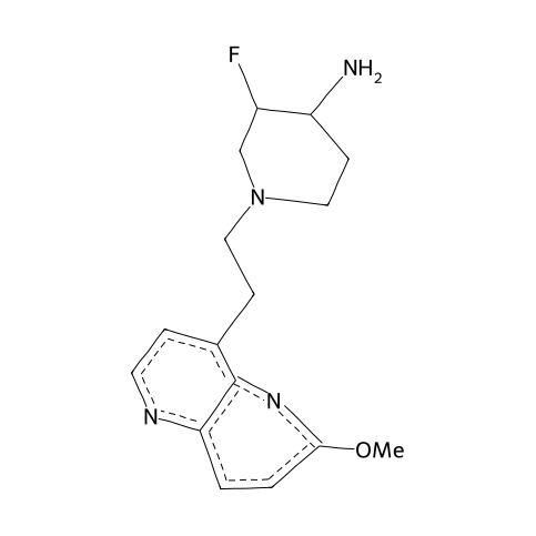 COc1ccc2nccc(CCN3CCC(N)C(F)C3)c2n1